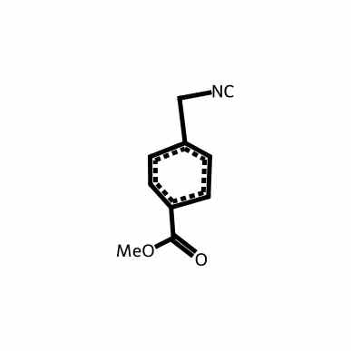 [C-]#[N+]Cc1ccc(C(=O)OC)cc1